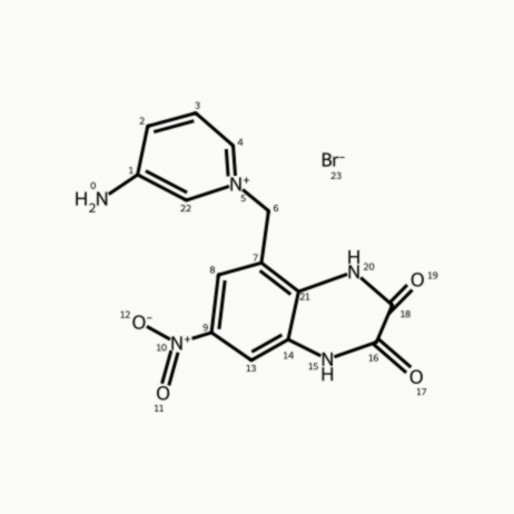 Nc1ccc[n+](Cc2cc([N+](=O)[O-])cc3[nH]c(=O)c(=O)[nH]c23)c1.[Br-]